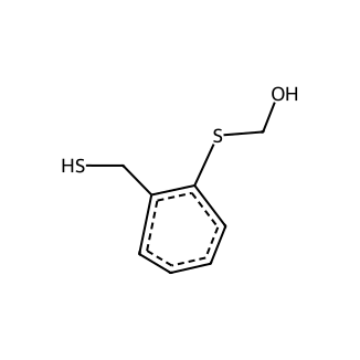 OCSc1ccccc1CS